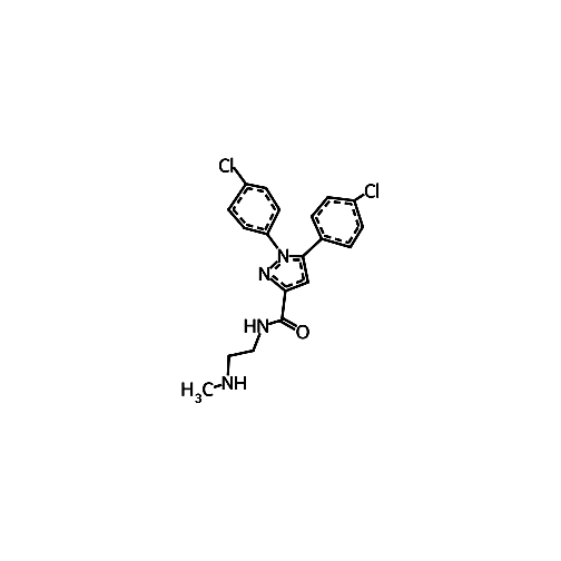 CNCCNC(=O)c1cc(-c2ccc(Cl)cc2)n(-c2ccc(Cl)cc2)n1